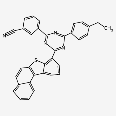 CCc1ccc(-c2nc(-c3cccc(C#N)c3)nc(-c3cccc4c3sc3ccc5ccccc5c34)n2)cc1